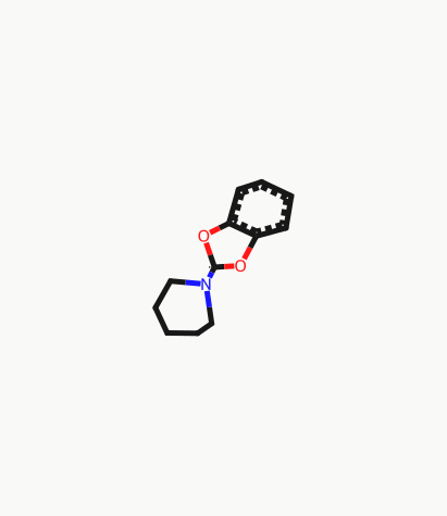 c1ccc2c(c1)O[C](N1CCCCC1)O2